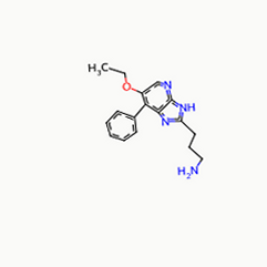 CCOc1cnc2[nH]c(CCCN)nc2c1-c1ccccc1